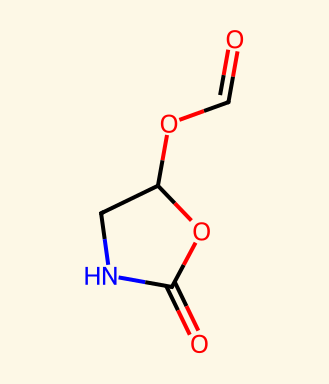 O=COC1CNC(=O)O1